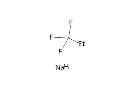 [CH2]CC(F)(F)F.[NaH]